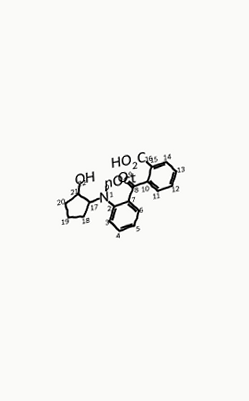 CCCCCCCCN(c1ccccc1C(=O)c1ccccc1C(=O)O)C1CCCC1O